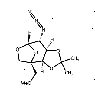 COC[C@@]12CO[C@@H](O1)[C@H](N=[N+]=[N-])[C@H]1OC(C)(C)O[C@H]12